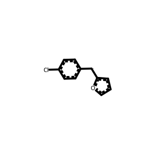 Clc1ccc([CH]c2ccco2)cc1